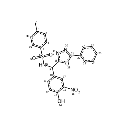 Cc1ccc(S(=O)(=O)NC(c2ccc(O)c([N+](=O)[O-])c2)c2nnc(-c3ccccc3)o2)cc1